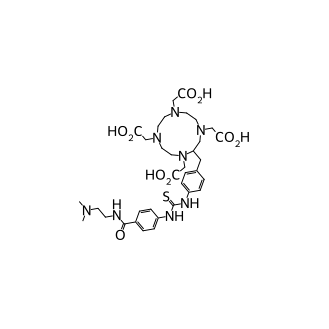 CN(C)CCNC(=O)c1ccc(NC(=S)Nc2ccc(CC3CN(CC(=O)O)CCN(CC(=O)O)CCN(CC(=O)O)CCN3CC(=O)O)cc2)cc1